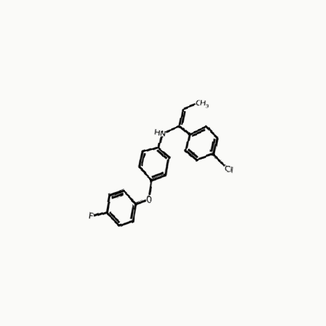 C/C=C(/Nc1ccc(Oc2ccc(F)cc2)cc1)c1ccc(Cl)cc1